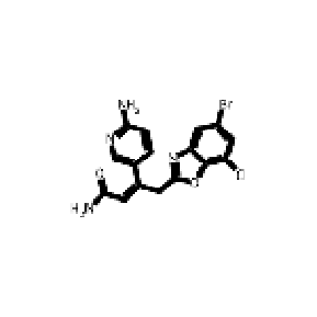 NC(=O)C=C(Cc1nc2cc(Br)cc(Cl)c2o1)c1ccc(N)nc1